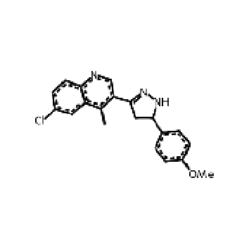 COc1ccc(C2CC(c3cnc4ccc(Cl)cc4c3C)=NN2)cc1